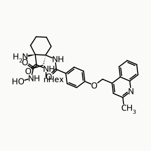 CCCCCCNC(=O)[C@]1(N)CCCC[C@@]1(CC(=O)NO)NC(=O)c1ccc(OCc2cc(C)nc3ccccc23)cc1